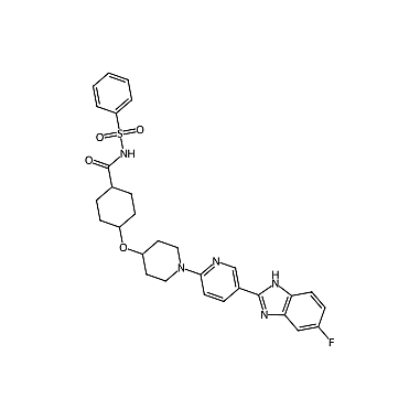 O=C(NS(=O)(=O)c1ccccc1)C1CCC(OC2CCN(c3ccc(-c4nc5cc(F)ccc5[nH]4)cn3)CC2)CC1